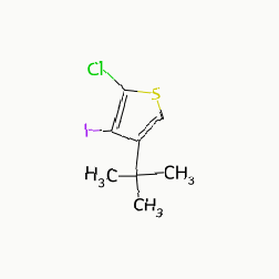 CC(C)(C)c1csc(Cl)c1I